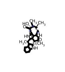 CC[C@H]1C2[C@H]([C@@H](C)c3c[nH]c4ccccc34)NC(=O)[C@@]23C(=O)/C=C\C(=O)[C@H](O)/C(C)=C\[C@@H](C)C/C=C/[C@H]3[C@@H]2O[C@]12C